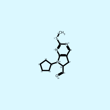 CSc1ncc2c(n1)N(C1CCCC1)C(C=O)C2